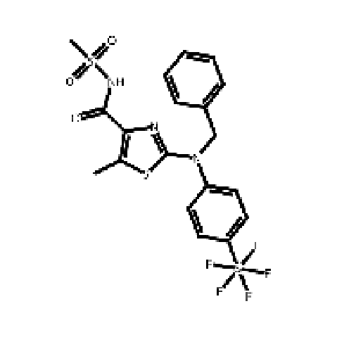 Cc1sc(N(Cc2ccccc2)c2ccc(S(F)(F)(F)(F)F)cc2)nc1C(=O)NS(C)(=O)=O